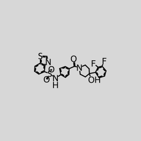 O=C(c1ccc(NS(=O)(=O)c2cccc3scnc23)cc1)N1CCC(O)(c2cccc(F)c2F)CC1